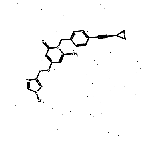 Cc1cc(OCc2cn(C)cn2)cc(=O)n1Cc1ccc(C#CC2CC2)cc1